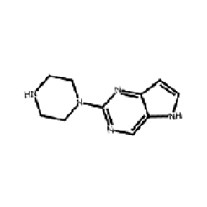 c1cc2nc(N3CCNCC3)ncc2[nH]1